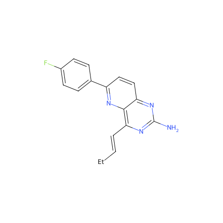 CCC=Cc1nc(N)nc2ccc(-c3ccc(F)cc3)nc12